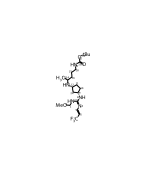 COCN/C(=N\C=C\C(F)(F)F)N[C@H]1CC[C@H](NC(C)CCCNC(=O)OC(C)(C)C)C1